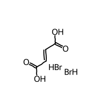 Br.Br.O=C(O)C=CC(=O)O